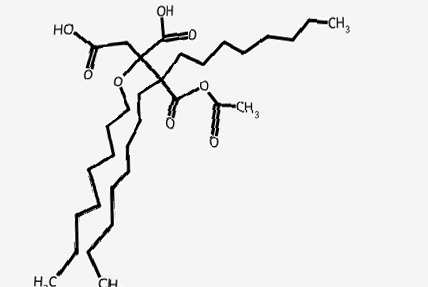 CCCCCCCCOC(CC(=O)O)(C(=O)O)C(CCCCCCCC)(CCCCCCCC)C(=O)OC(C)=O